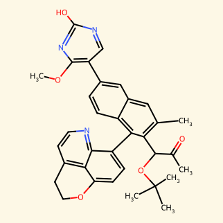 COc1nc(O)ncc1-c1ccc2c(-c3ccc4c5c(ccnc35)CCO4)c(C(OC(C)(C)C)C(C)=O)c(C)cc2c1